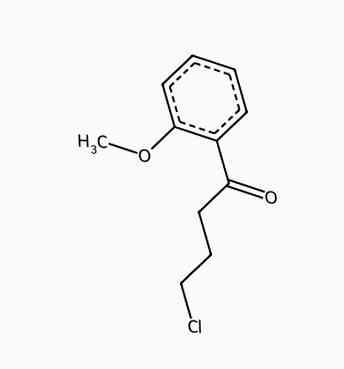 COc1ccccc1C(=O)CCCCl